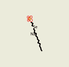 CCCCCCCCCCCCCC[Se]CCCOS(=O)(=O)[O-].[Na+]